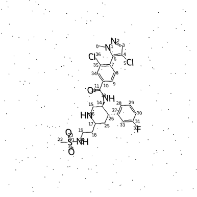 Cn1ncc(Cl)c1-c1ccc(C(=O)N[C@@H]2CNC(CCNS(C)(=O)=O)C[C@H]2c2cccc(F)c2)cc1Cl